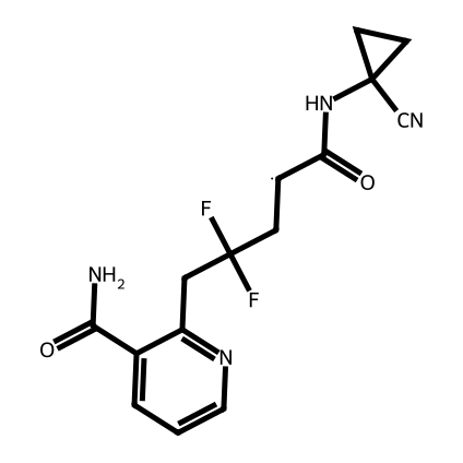 N#CC1(NC(=O)[CH]CC(F)(F)Cc2ncccc2C(N)=O)CC1